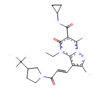 Cc1nn2c(O)c(C(=O)NC3CC3)c(=O)n(CC(C)C)c2c1C=CC(=O)N1CCC(C(C)(C)O)C1